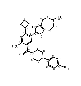 Cc1cc(C2CCC2)c(-c2nc3c([nH]2)CCN(C)CC3)cc1C(=O)N1CCC(c2ccc(N)cc2)CC1